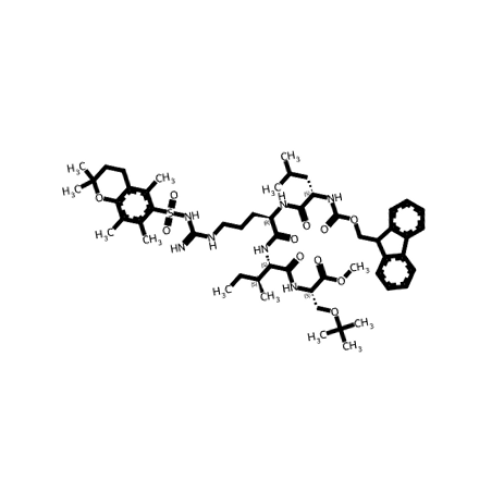 CC[C@H](C)[C@H](NC(=O)[C@@H](CCCNC(=N)NS(=O)(=O)c1c(C)c(C)c2c(c1C)CCC(C)(C)O2)NC(=O)[C@H](CC(C)C)NC(=O)OCC1c2ccccc2-c2ccccc21)C(=O)N[C@@H](COC(C)(C)C)C(=O)OC